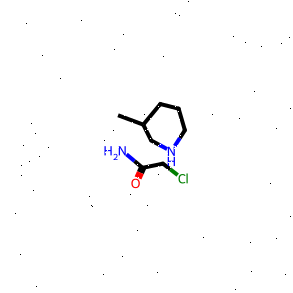 CC1CCCNC1.NC(=O)CCl